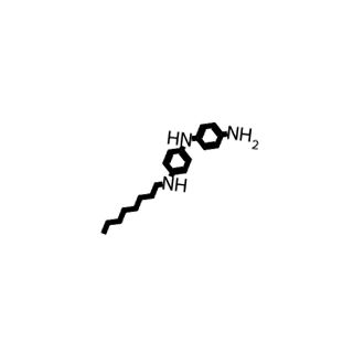 CCCCCCCCNc1ccc(Nc2ccc(N)cc2)cc1